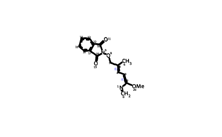 C=N/C(=C\C=C(/C)CON1C(=O)c2ccccc2C1=O)OC